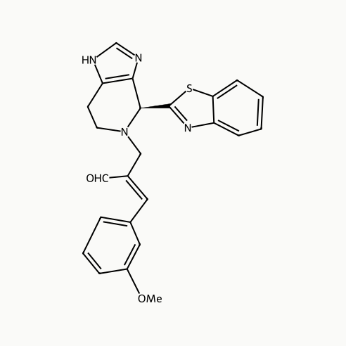 COc1cccc(/C=C(\C=O)CN2CCc3[nH]cnc3[C@H]2c2nc3ccccc3s2)c1